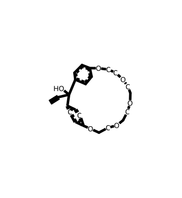 C#CC1(O)c2ccc(cc2)OCCOCCOCCOCCOc2ccc1cc2